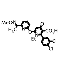 CCn1c(Oc2cccc(/C(C)=N/OC)n2)cc(=O)c(C(=O)O)c1-c1ccc(Cl)c(Cl)c1